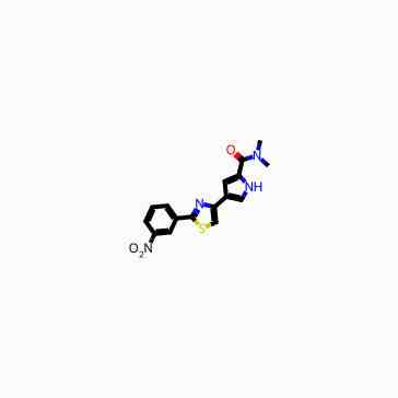 CN(C)C(=O)c1cc(-c2csc(-c3cccc([N+](=O)[O-])c3)n2)c[nH]1